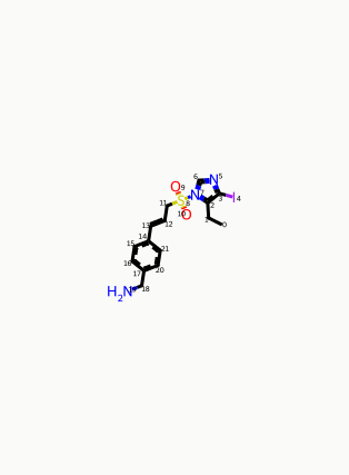 CCc1c(I)ncn1S(=O)(=O)CC=Cc1ccc(CN)cc1